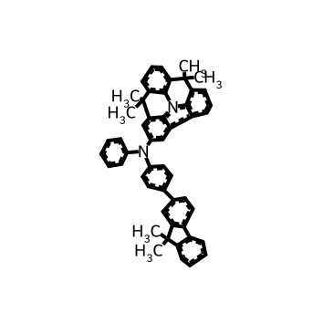 CC1(C)c2ccccc2-c2ccc(-c3ccc(N(c4ccccc4)c4cc5c6c(c4)c4cccc7c4n6-c4c(cccc4C5(C)C)C7(C)C)cc3)cc21